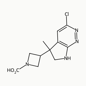 CC1(C2CN(C(=O)O)C2)CNc2nnc(Cl)cc21